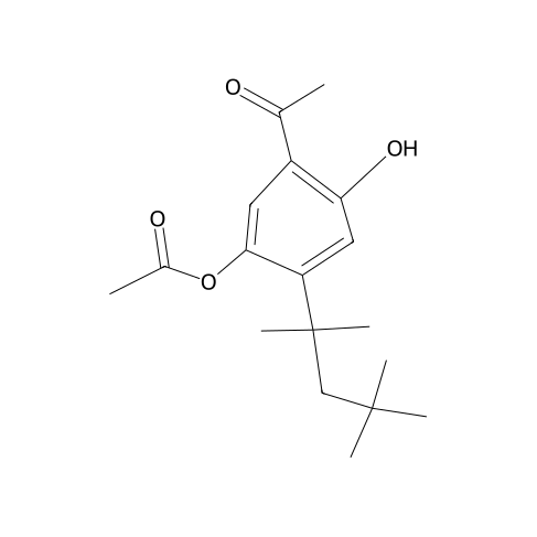 CC(=O)Oc1cc(C(C)=O)c(O)cc1C(C)(C)CC(C)(C)C